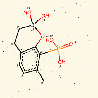 Cc1ccc2c(c1P(=O)(O)O)O[B-](O)(O)CC2